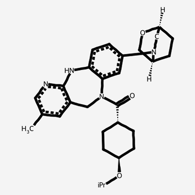 Cc1cnc2c(c1)CN(C(=O)[C@H]1CC[C@H](OC(C)C)CC1)c1cc(N3C[C@@H]4CC[C@H]3CO4)ccc1N2